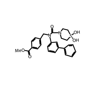 COC(=O)c1ccc(CN(C(=O)N2CCS(O)(O)CC2)c2cccc(-c3ccccc3)c2)cc1